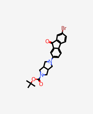 CC(C)(C)OC(=O)N1CC2CN(c3ccc4c(c3)C(=O)c3cc(Br)ccc3-4)CC2C1